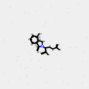 C=C(C)CCC(C(=C)C)N1Cc2c(C)cccc2C1=C